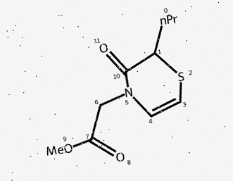 CCCC1SC=CN(CC(=O)OC)C1=O